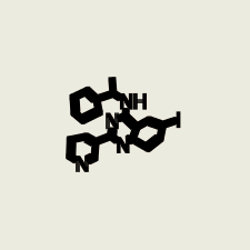 CC(Nc1nc(-c2cccnc2)nc2ccc(I)cc12)c1ccccc1